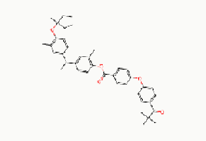 CCC(C)(CC)Oc1ccc(C(C)c2ccc(OC(=O)c3ccc(Oc4ccc(C(=O)C(C)(C)C)cc4)cc3)c(C)c2)cc1C